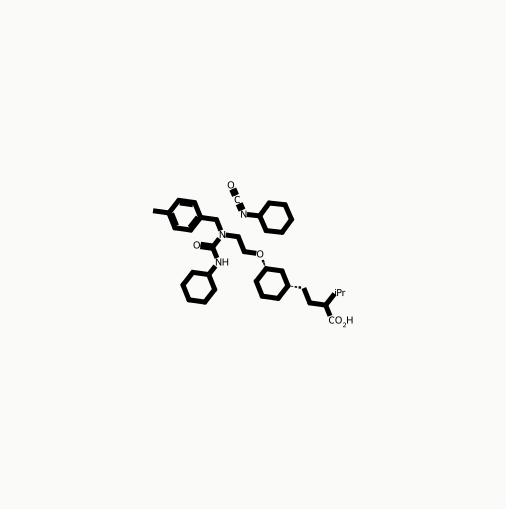 Cc1ccc(CN(CCO[C@H]2CCC[C@@H](CCC(C(=O)O)C(C)C)C2)C(=O)NC2CCCCC2)cc1.O=C=NC1CCCCC1